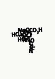 CO[C@]1(C(=O)O)CC[C@@H](NC(=O)CN=[N+]=[N-])C([C@H](O)[C@H](O)CO)O1